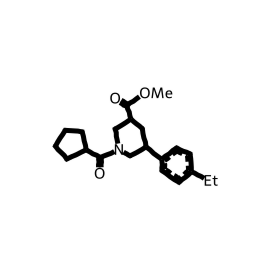 CCc1ccc(C2CC(C(=O)OC)CN(C(=O)C3CCCC3)C2)cc1